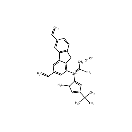 C=Cc1ccc2c(c1)-c1cc(C=C)c[c]([Zr+2]([C]3=CC(C(C)(C)C)=CC3C)=[C](C)C)c1C2.[Cl-].[Cl-]